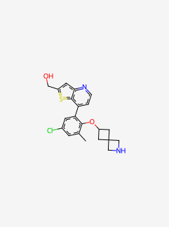 Cc1cc(Cl)cc(-c2ccnc3cc(CO)sc23)c1OC1CC2(CNC2)C1